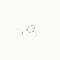 Cc1ccc([N+](=O)[O-])c(C)c1C(=O)O